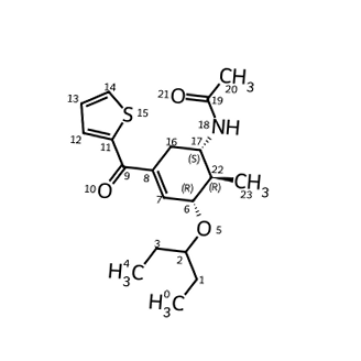 CCC(CC)O[C@@H]1C=C(C(=O)c2cccs2)C[C@H](NC(C)=O)[C@H]1C